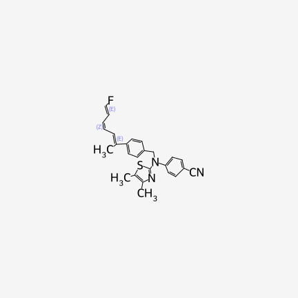 C\C(=C/C=C\C=C\F)c1ccc(CN(c2ccc(C#N)cc2)c2nc(C)c(C)s2)cc1